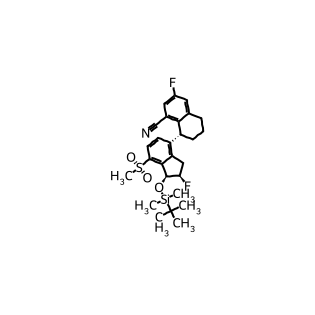 CC(C)(C)[Si](C)(C)O[C@H]1c2c(S(C)(=O)=O)ccc([C@H]3CCCc4cc(F)cc(C#N)c43)c2C[C@H]1F